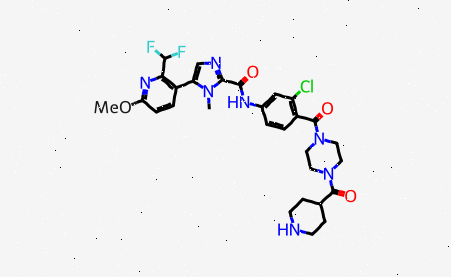 COc1ccc(-c2cnc(C(=O)Nc3ccc(C(=O)N4CCN(C(=O)C5CCNCC5)CC4)c(Cl)c3)n2C)c(C(F)F)n1